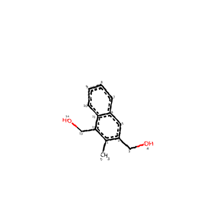 Cc1c(CO)cc2ccccc2c1CO